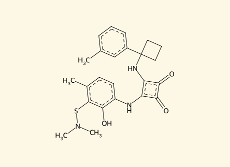 Cc1cccc(C2(Nc3c(Nc4ccc(C)c(SN(C)C)c4O)c(=O)c3=O)CCC2)c1